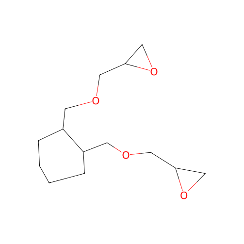 C1CCC(COCC2CO2)C(COCC2CO2)C1